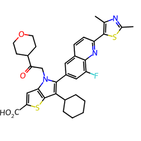 Cc1nc(C)c(-c2ccc3cc(-c4c(C5CCCCC5)c5sc(C(=O)O)cc5n4CC(=O)C4CCOCC4)cc(F)c3n2)s1